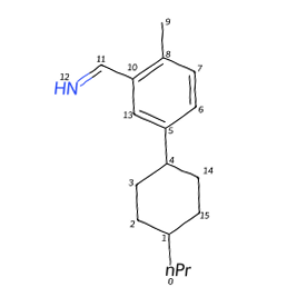 CCCC1CCC(c2ccc(C)c(C=N)c2)CC1